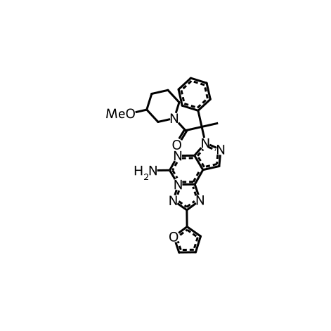 COC1CCCN(C(=O)C(C)(c2ccccc2)n2ncc3c2nc(N)n2nc(-c4ccco4)nc32)C1